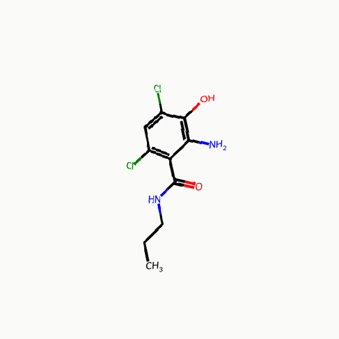 CCCNC(=O)c1c(Cl)cc(Cl)c(O)c1N